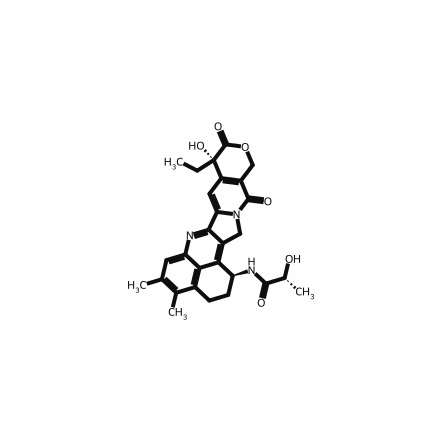 CC[C@@]1(O)C(=O)OCc2c1cc1n(c2=O)Cc2c-1nc1cc(C)c(C)c3c1c2[C@@H](NC(=O)[C@@H](C)O)CC3